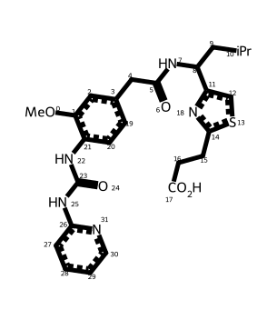 COc1cc(CC(=O)NC(CC(C)C)c2csc(CCC(=O)O)n2)ccc1NC(=O)Nc1ccccn1